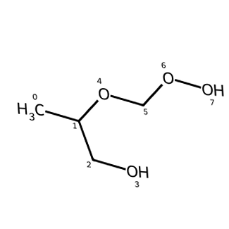 CC(CO)OCOO